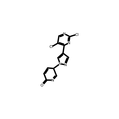 O=C1C=CC(n2cc(-c3nc(Cl)ncc3Cl)cn2)C=N1